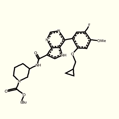 COc1cc(OCC2CC2)c(-c2ncnc3c(C(=O)NC4CCCN(C(=O)OC(C)(C)C)C4)c[nH]c23)cc1F